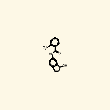 O=C(Nc1ccc2c(c1)B(O)OC2)c1ccccc1[N+](=O)[O-]